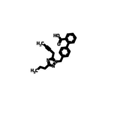 CC#CCc1nc(CCC)nn1Cc1ccc(-c2ccccc2C(=O)O)cc1